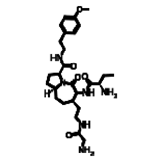 CC[C@H](N)C(=O)NC1C(=O)N2[C@@H](CC[C@@H]1CCNC(=O)CN)CC[C@H]2C(=O)NCCc1ccc(OC)cc1